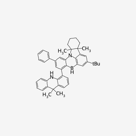 CC(C)(C)c1cc2c3c(c1)C1(C)CCCCC1(C)N3c1cc(-c3ccccc3)cc(-c3cccc4c3Nc3ccccc3C4(C)C)c1B2